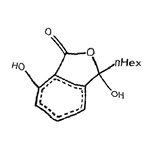 CCCCCCC1(O)OC(=O)c2c(O)cccc21